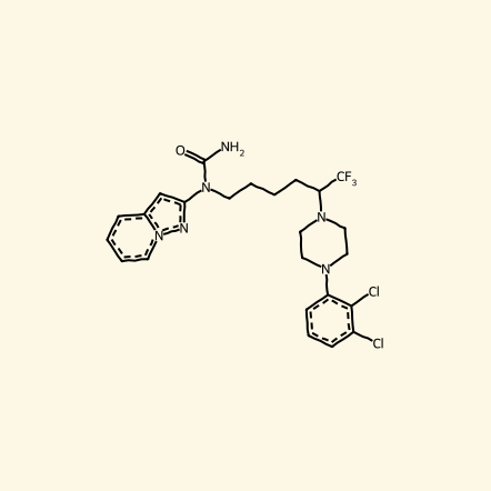 NC(=O)N(CCCCC(N1CCN(c2cccc(Cl)c2Cl)CC1)C(F)(F)F)c1cc2ccccn2n1